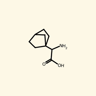 NC(C(=O)O)C12CCC(CC1)C2